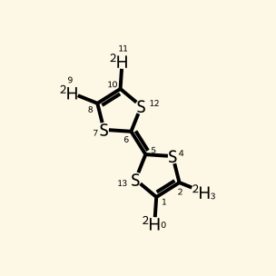 [2H]C1=C([2H])SC(=C2SC([2H])=C([2H])S2)S1